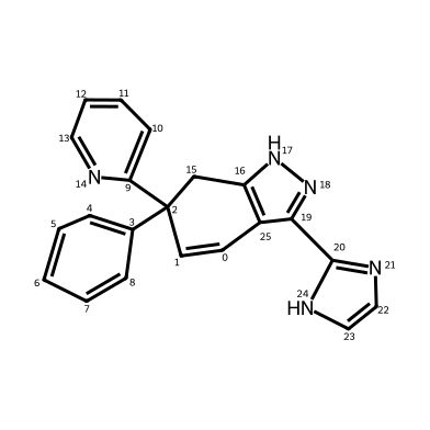 C1=CC(c2ccccc2)(c2ccccn2)Cc2[nH]nc(-c3ncc[nH]3)c21